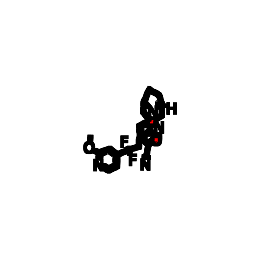 COc1cc(C(F)(F)CCC(=O)N2CC3CC[C@@H](C2)N3c2ccc(C#N)cn2)ccn1